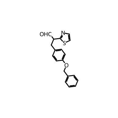 O=CC(Cc1ccc(OCc2ccccc2)cc1)c1nccs1